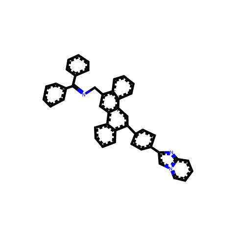 c1ccc(C(=NCc2cc3c4ccccc4c(-c4ccc(-c5cn6ccccc6n5)cc4)cc3c3ccccc23)c2ccccc2)cc1